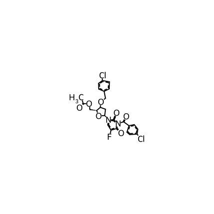 CC(=O)OC[C@@H]1O[C@H](n2cc(F)c(=O)n(C(=O)c3ccc(Cl)cc3)c2=O)CC1OCc1ccc(Cl)cc1